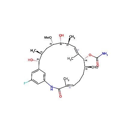 CO[C@H]1C[C@H](C)[C@@H](O)c2cc(F)cc(c2)NC(=O)/C(C)=C/CC[C@H](C=O)[C@@H](OC(N)=O)/C(C)=C/[C@H](C)[C@H]1O